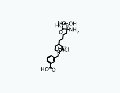 Cl.Cl.NC(CCCCC1CCN(Cc2cccc(C(=O)O)c2)CC1)(B(O)O)C(=O)O